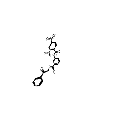 O=C(COC(=O)c1cccc(NC(=O)c2ccc([N+](=O)[O-])cc2[N+](=O)[O-])c1)c1ccccc1